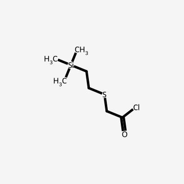 C[Si](C)(C)CCSCC(=O)Cl